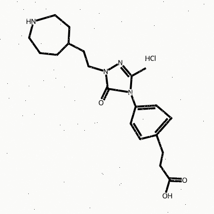 Cc1nn(CCC2CCCNCC2)c(=O)n1-c1ccc(CCC(=O)O)cc1.Cl